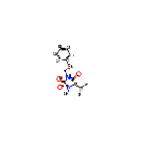 CC(C)C1C(=O)N(CSc2ccccc2)S(=O)(=O)N1C